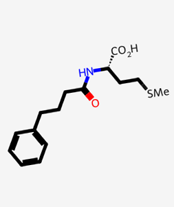 CSCC[C@H](NC(=O)CCCc1ccccc1)C(=O)O